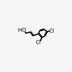 OC/C=C/c1ccc(Cl)cc1Cl